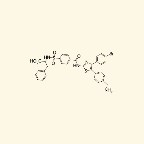 NCc1ccc(-c2sc(NC(=O)c3ccc(S(=O)(=O)NC(Cc4ccccc4)C(=O)O)cc3)nc2-c2ccc(Br)cc2)cc1